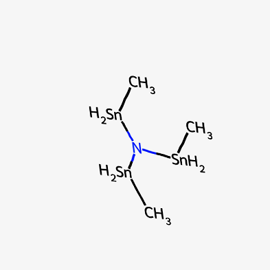 [CH3][SnH2][N]([SnH2][CH3])[SnH2][CH3]